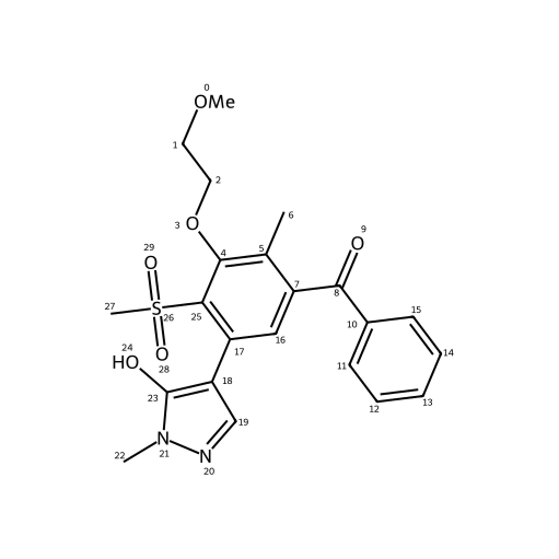 COCCOc1c(C)c(C(=O)c2ccccc2)cc(-c2cnn(C)c2O)c1S(C)(=O)=O